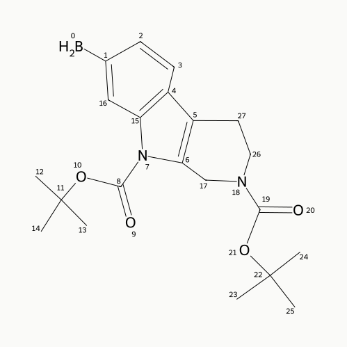 Bc1ccc2c3c(n(C(=O)OC(C)(C)C)c2c1)CN(C(=O)OC(C)(C)C)CC3